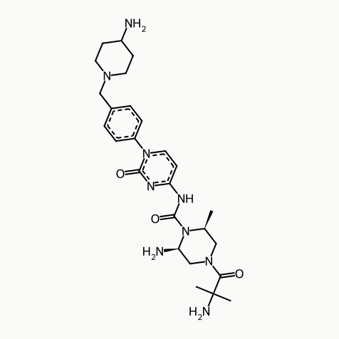 C[C@H]1CN(C(=O)C(C)(C)N)C[C@@H](N)N1C(=O)Nc1ccn(-c2ccc(CN3CCC(N)CC3)cc2)c(=O)n1